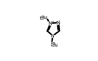 CC(C)(C)n1cn[n+](C(C)(C)C)c1